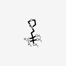 CC(C)(C)C(C)(C)CCN1CCOCC1